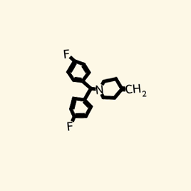 C=C1CCN(C(c2ccc(F)cc2)c2ccc(F)cc2)CC1